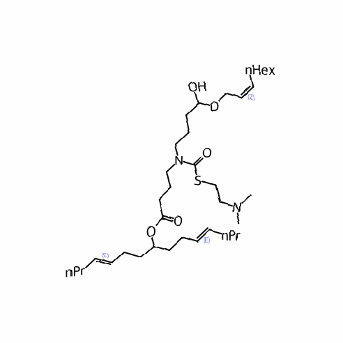 CCC/C=C/CCC(CC/C=C/CCC)OC(=O)CCCN(CCCC(O)OC/C=C\CCCCCC)C(=O)SCCN(C)C